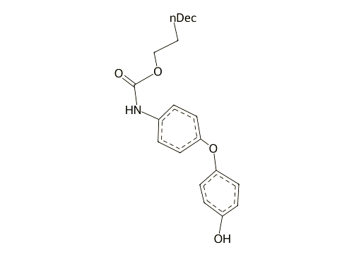 CCCCCCCCCCCCOC(=O)Nc1ccc(Oc2ccc(O)cc2)cc1